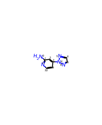 Nc1cc(-n2nccn2)ccn1